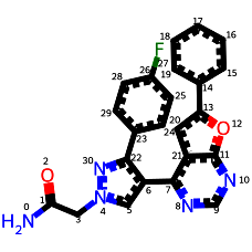 NC(=O)Cn1cc(-c2ncnc3oc(-c4ccccc4)cc23)c(-c2ccc(F)cc2)n1